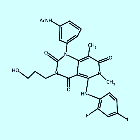 CC(=O)Nc1cccc(-n2c(=O)n(CCCO)c(=O)c3c(Nc4ccc(I)cc4F)n(C)c(=O)c(C)c32)c1